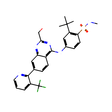 CNS(=O)(=O)c1ccc(Nc2nc(CO)nc3cc(-c4ncccc4C(F)(F)F)ccc23)cc1C(C)(C)C